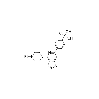 CCN1CCN(c2nc(-c3ccc(C(C)(C)O)cc3)cc3sccc23)CC1